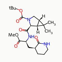 COC(=O)[C@H](C[C@@H]1CCCNC1=O)NC(=O)[C@@H]1[C@@H]2[C@H](CN1C(=O)OC(C)(C)C)C2(C)C